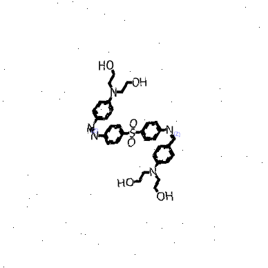 O=S(=O)(c1ccc(/N=C\c2ccc(N(CCO)CCO)cc2)cc1)c1ccc(/N=N\c2ccc(N(CCO)CCO)cc2)cc1